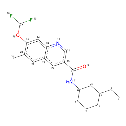 CCC1CCCC(NC(=O)c2cnc3cc(OC(F)F)c(C)cc3c2)C1